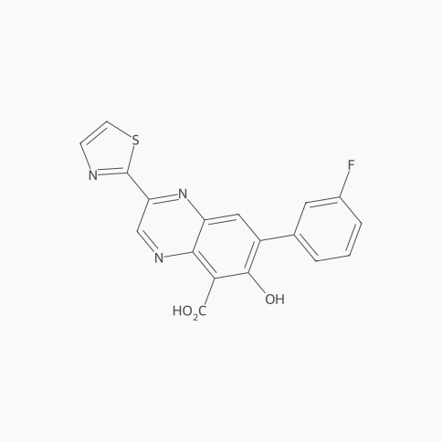 O=C(O)c1c(O)c(-c2cccc(F)c2)cc2nc(-c3nccs3)cnc12